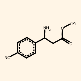 CCCOC(=O)CC(N)c1ccc(C#N)cc1